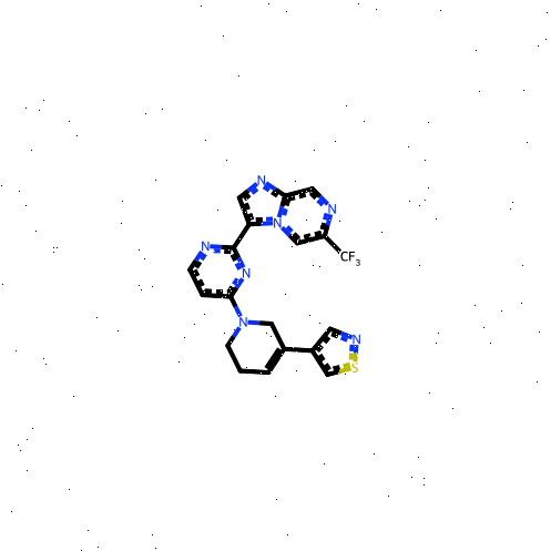 FC(F)(F)c1cn2c(-c3nccc(N4CCC=C(c5cnsc5)C4)n3)cnc2cn1